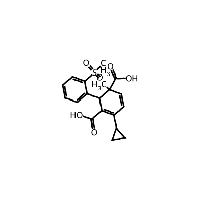 CC1(C(=O)O)C=CC(C2CC2)=C(C(=O)O)C1c1ccccc1S(C)(=O)=O